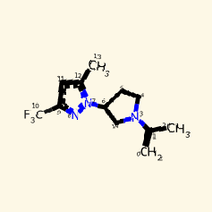 C=C(C)N1CCC(n2nc(C(F)(F)F)cc2C)C1